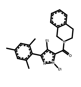 CCc1c(-c2c(C)cc(C)cc2C)nn(CC)c1C(=O)N1CCc2ccccc2C1